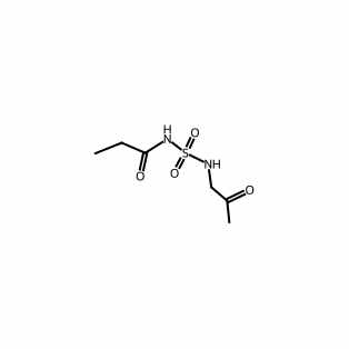 CCC(=O)NS(=O)(=O)NCC(C)=O